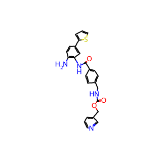 Nc1ccc(-c2cccs2)cc1NC(=O)c1ccc(CNC(=O)OCc2cccnc2)cc1